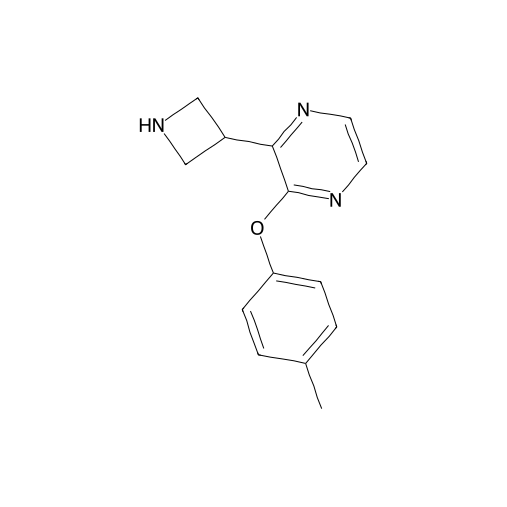 Cc1ccc(Oc2nccnc2C2CNC2)cc1